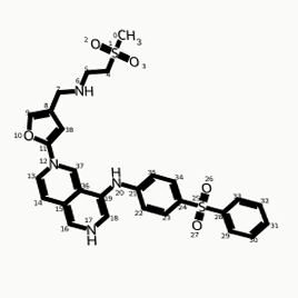 CS(=O)(=O)CCNCc1coc(N2C=CC3=CNC=C(Nc4ccc(S(=O)(=O)c5ccccc5)cc4)C3=C2)c1